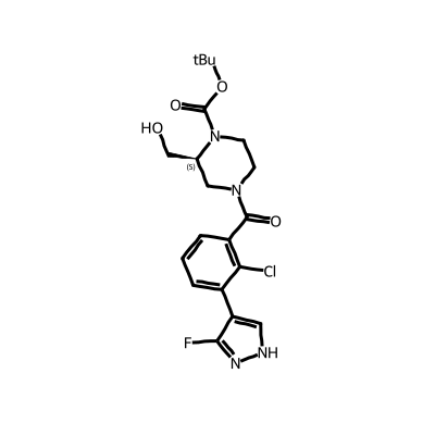 CC(C)(C)OC(=O)N1CCN(C(=O)c2cccc(-c3c[nH]nc3F)c2Cl)C[C@H]1CO